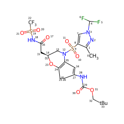 Cc1nn(C(F)F)cc1S(=O)(=O)N1C[C@H](CC(=O)NS(=O)(=O)C(F)(F)F)Oc2ccc(NC(=O)OCC(C)(C)C)cc21